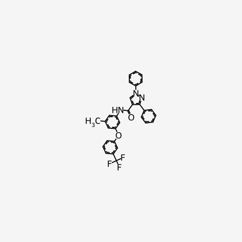 Cc1cc(NC(=O)c2cn(-c3ccccc3)nc2-c2ccccc2)cc(Oc2cccc(C(F)(F)F)c2)c1